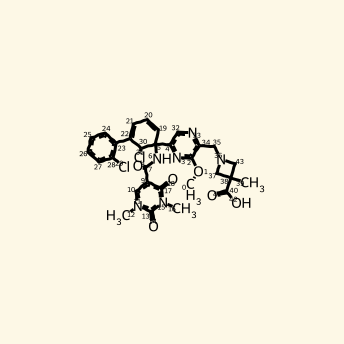 COc1nc(C2(NC(=O)c3cn(C)c(=O)n(C)c3=O)C=CC=C(c3ccccc3Cl)C2Cl)cnc1CN1CC(C)(C(=O)O)C1